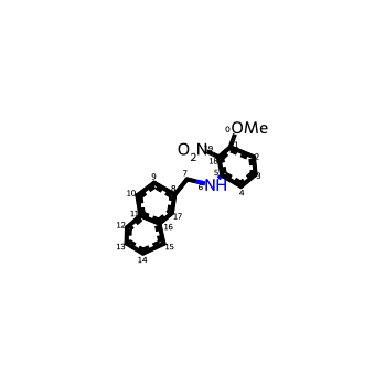 COc1cccc(NCc2ccc3ccccc3c2)c1[N+](=O)[O-]